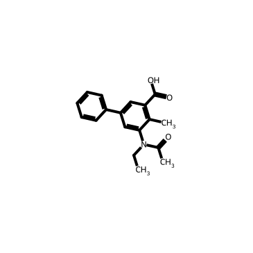 CCN(C(C)=O)c1cc(-c2ccccc2)cc(C(=O)O)c1C